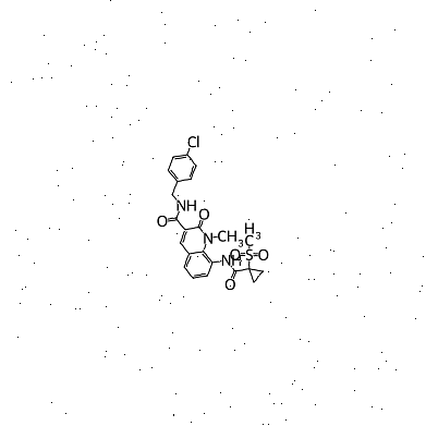 Cn1c(=O)c(C(=O)NCc2ccc(Cl)cc2)cc2cccc(NC(=O)C3(S(C)(=O)=O)CC3)c21